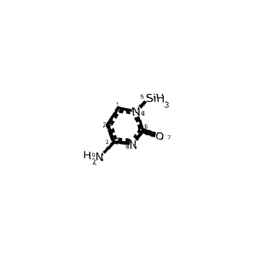 Nc1ccn([SiH3])c(=O)n1